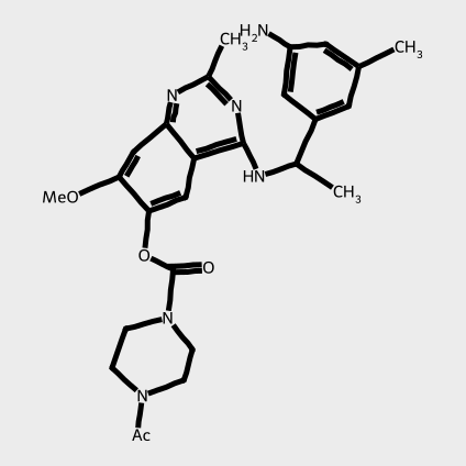 COc1cc2nc(C)nc(NC(C)c3cc(C)cc(N)c3)c2cc1OC(=O)N1CCN(C(C)=O)CC1